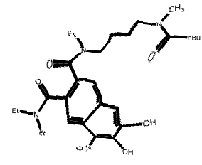 CCCCC(=O)N(C)CCCCN(CC)C(=O)c1cc2cc(O)c(O)c([N+](=O)[O-])c2cc1C(=O)N(CC)CC